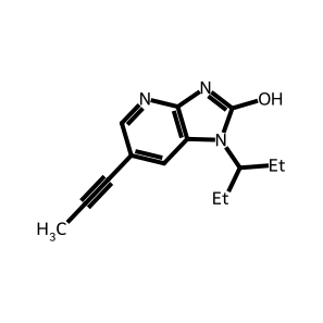 CC#Cc1cnc2nc(O)n(C(CC)CC)c2c1